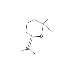 C[Si](C)=[Si]1CCCC(C)(C)O1